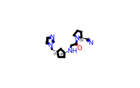 N#C[C@@H]1CCCN1C(=O)CN[C@@H]1CC[C@H](Cn2ccnc2)C1